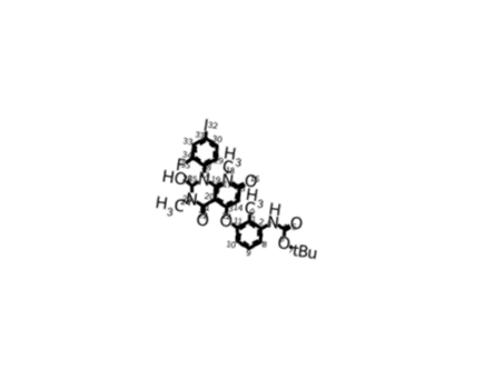 Cc1c(NC(=O)OC(C)(C)C)cccc1Oc1cc(=O)n(C)c2c1C(=O)N(C)C(O)N2c1ccc(I)cc1F